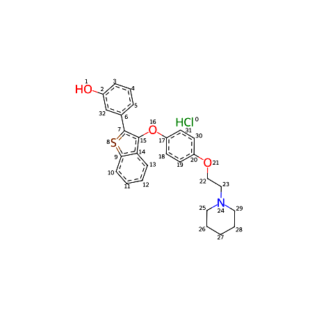 Cl.Oc1cccc(-c2sc3ccccc3c2Oc2ccc(OCCN3CCCCC3)cc2)c1